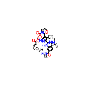 CCCN(C(=O)OCOC(=O)CCC(=O)O)C(=O)c1c[nH]c(C(=N)Nc2cc(C(=O)NCC)ccc2C)c1C